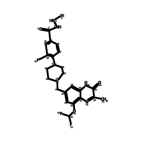 CCNNC(=O)c1ccc(N2CCN(Cc3cc(OC(F)F)c4nc(C)c(=O)[nH]c4c3)CC2)c(F)n1